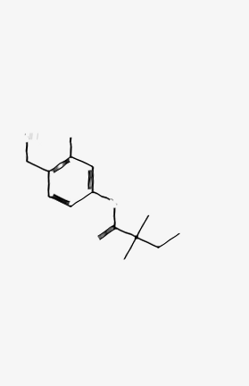 CCC(C)(C)C(=O)Nc1ccc(CN)c(F)c1